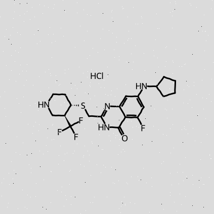 Cl.O=c1[nH]c(CS[C@H]2CCNC[C@@H]2C(F)(F)F)nc2cc(NC3CCCC3)cc(F)c12